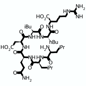 CCCC[C@H](NC(=O)[C@@H](NC(=O)[C@H](CC(=O)O)NC(=O)[C@H](CCC(N)=O)NC(=O)[C@H](CC(C)C)NC(=O)[C@@H](N)CC(C)C)[C@@H](C)CC)C(=O)N[C@H](CCCNC(=N)N)C(=O)O